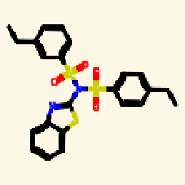 CCc1ccc(S(=O)(=O)N(c2nc3ccccc3s2)S(=O)(=O)c2cccc(CC)c2)cc1